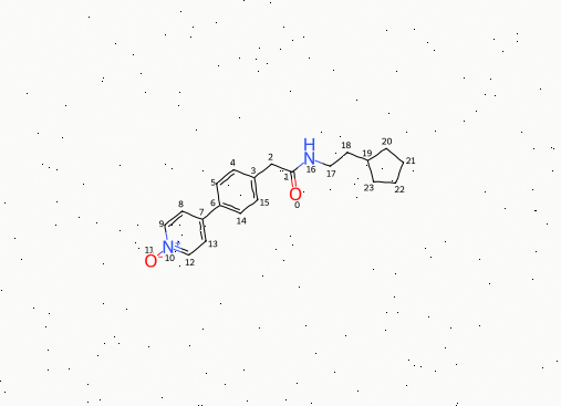 O=C(Cc1ccc(-c2cc[n+]([O-])cc2)cc1)NCCC1CCCC1